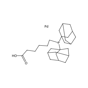 O=C(O)CCCCCP(C12CC3CC(CC(C3)C1)C2)C12CC3CC(CC(C3)C1)C2.[Pd]